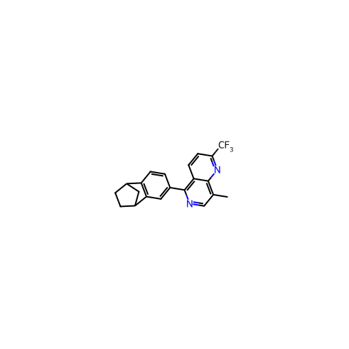 Cc1cnc(-c2ccc3c(c2)C2CCC3C2)c2ccc(C(F)(F)F)nc12